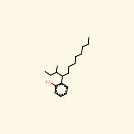 CCCCCCCCC(c1ccccc1O)C(C)CC